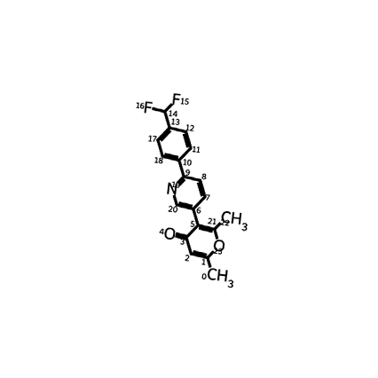 Cc1cc(=O)c(-c2ccc(-c3ccc(C(F)F)cc3)nc2)c(C)o1